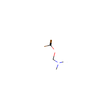 CCCCN(CCCC)COC(=S)S